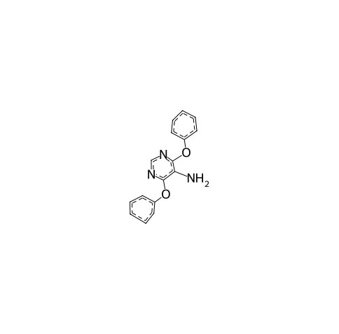 Nc1c(Oc2ccccc2)ncnc1Oc1ccccc1